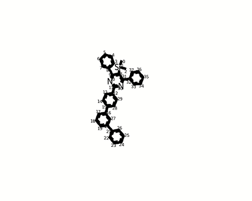 C[Si]1(C)c2ccccc2-c2nc(-c3ccc(-c4cccc(-c5ccccc5)c4)cc3)nc(-c3ccccc3)c21